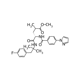 COC(=O)C(C)C[C@H](NC(=O)c1ccc(-n2cccn2)cc1)C(=O)NC(C)(C)Cc1ccc(F)cc1